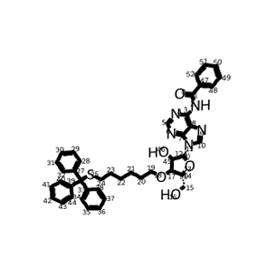 O=C(Nc1ncnc2c1ncn2[C@@H]1O[C@H](CO)C(OCCCCCCSC(c2ccccc2)(c2ccccc2)c2ccccc2)C1O)c1ccccc1